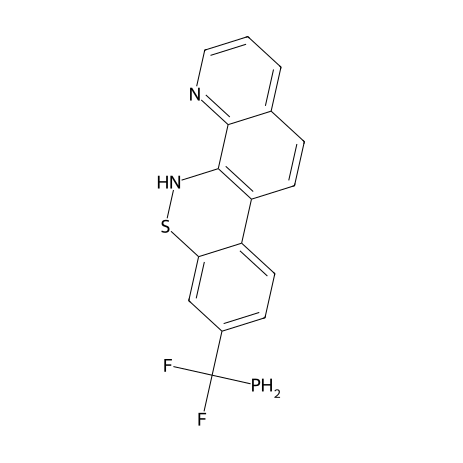 FC(F)(P)c1ccc2c(c1)SNc1c-2ccc2cccnc12